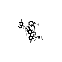 CC1(O)CCCCN2c3nc(OC[C@@]45CCCN4C[C@H](F)C5)nc4c(F)c(-c5ccc(F)c6sc(N)nc56)c(Cl)c(c34)OCCC21